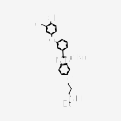 CCCCn1c(-c2cccc(Oc3ccc(Cl)c(Cl)c3)c2)nc2ccc(OCCCNCC)cc21